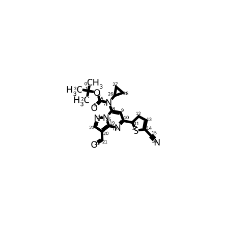 CC(C)(C)OC(=O)N(c1cc(C2CC=C(C#N)S2)nc2c(C=O)cnn12)C1CC1